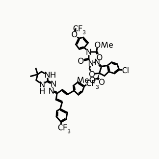 CC1(C)CNC(=NN=C(/C=C/c2ccc(C(F)(F)F)cc2)/C=C/c2ccc(C(F)(F)F)cc2)NC1.COC(=O)N(C(=O)N1CO[C@@]2(C(=O)OC)Cc3cc(Cl)ccc3C2=N1)c1ccc(OC(F)(F)F)cc1